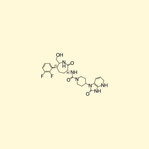 O=C1NC(CO)[C@H](c2cccc(F)c2F)CC[C@H]1NC(=O)N1CCC(n2c3c([nH]c2=O)NCC=C3)CC1